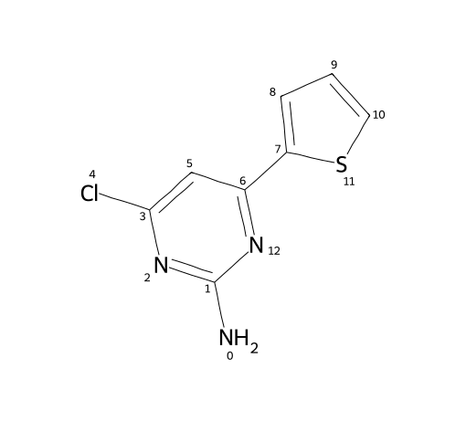 Nc1nc(Cl)cc(-c2cccs2)n1